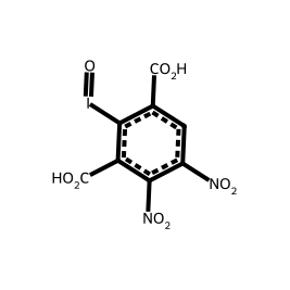 O=Ic1c(C(=O)O)cc([N+](=O)[O-])c([N+](=O)[O-])c1C(=O)O